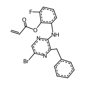 C=CC(=O)Oc1c(F)cccc1Nc1ncc(Br)nc1Cc1ccccc1